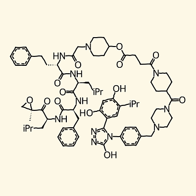 CC(C)C[C@H](NC(=O)[C@H](CCc1ccccc1)NC(=O)CN1CCC(OC(=O)CCC(=O)N2CCC(C(=O)N3CCN(Cc4ccc(-n5c(O)nnc5-c5cc(C(C)C)c(O)cc5O)cc4)CC3)CC2)CC1)C(=O)N[C@@H](Cc1ccccc1)C(=O)N[C@@H](CC(C)C)C(=O)[C@@]1(C)CO1